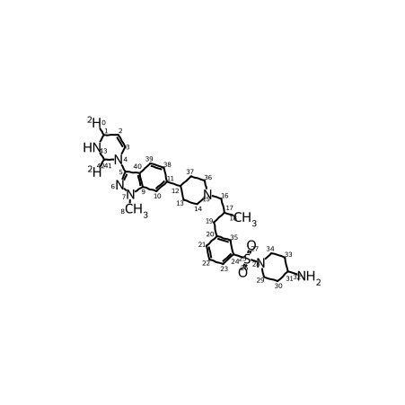 [2H]C1C=CN(c2nn(C)c3cc(C4CCN(CC(C)Cc5cccc(S(=O)(=O)N6CCC(N)CC6)c5)CC4)ccc23)C([2H])N1